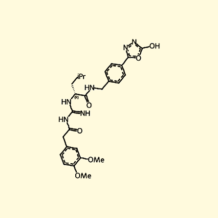 COc1ccc(CC(=O)NC(=N)N[C@H](CC(C)C)C(=O)NCc2ccc(-c3nnc(O)o3)cc2)cc1OC